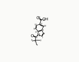 CC(C)(C)C(=O)n1ccc2cc(C(=O)O)ccc21